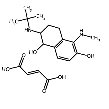 CNc1c(O)ccc2c1CCC(NC(C)(C)C)C2O.O=C(O)C=CC(=O)O